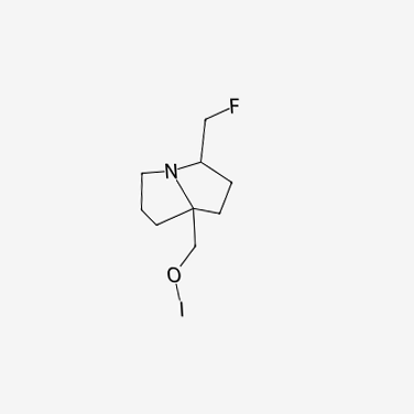 FCC1CCC2(COI)CCCN12